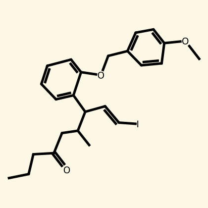 CCCC(=O)CC(C)C(C=CI)c1ccccc1OCc1ccc(OC)cc1